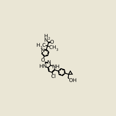 CC(C)(C(N)=O)c1ccc(OC2=NC3NC(c4ccc(C5(CO)CC5)cc4)=C(Cl)C=C3N2)cn1